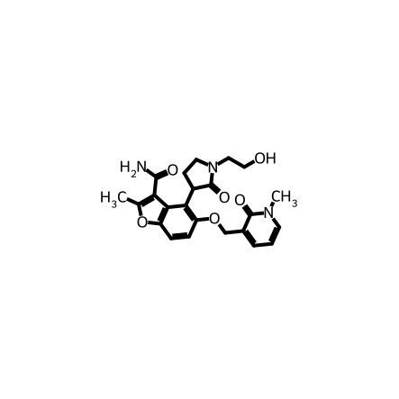 Cc1oc2ccc(OCc3cccn(C)c3=O)c(C3CCN(CCO)C3=O)c2c1C(N)=O